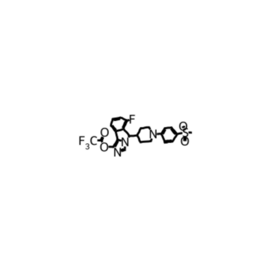 CS(=O)(=O)c1ccc(N2CCC(C3c4c(F)cccc4-c4c(OC(=O)C(F)(F)F)ncn43)CC2)cc1